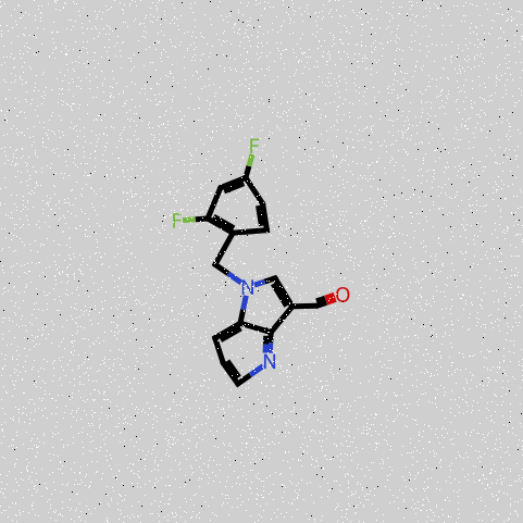 O=Cc1cn(Cc2ccc(F)cc2F)c2cccnc12